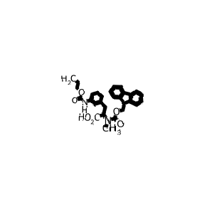 C=CCOC(=O)Nc1cccc(CC(C(=O)O)N(C)C(=O)OCC2c3ccccc3-c3ccccc32)c1